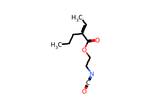 C/C=C(\CCC)C(=O)OCCN=C=O